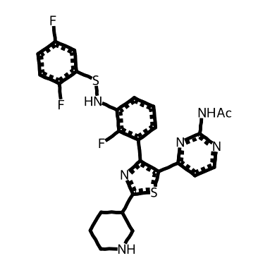 CC(=O)Nc1nccc(-c2sc(C3CCCNC3)nc2-c2cccc(NSc3cc(F)ccc3F)c2F)n1